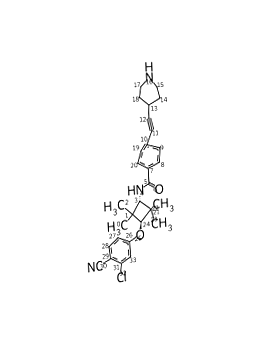 CC1(C)[C@H](NC(=O)c2ccc(C#CC3CCNCC3)cc2)C(C)(C)[C@H]1Oc1ccc(C#N)c(Cl)c1